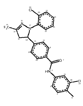 Cc1ccc(NC(=O)c2ccc(C3CC(C(F)(F)F)=NN3c3ccccc3Cl)cc2)cc1Cl